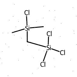 C[Si](C)(Cl)C[Si](Cl)(Cl)Cl